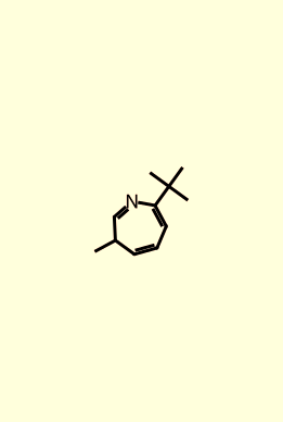 CC1C=CC=C(C(C)(C)C)N=C1